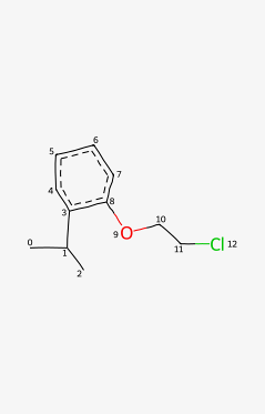 CC(C)c1ccccc1OCCCl